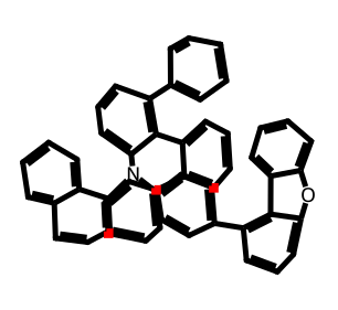 c1ccc(-c2ccccc2-c2c(-c3ccccc3)cccc2N(c2ccc(-c3cccc4oc5ccccc5c34)cc2)c2cccc3ccccc23)cc1